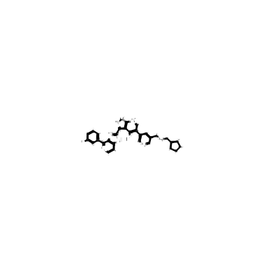 Fc1cccc(-c2nccc3[nH]c(-c4n[nH]c5ncc(-c6cncc(CNCC7CCCC7)c6)c(F)c45)nc23)c1